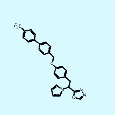 FC(F)(F)c1ccc(-c2ccc(COc3ccc(CC(c4nnco4)n4cccc4)cc3)cc2)cc1